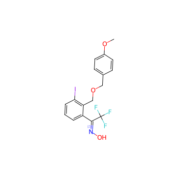 COc1ccc(COCc2c(I)cccc2/C(=N/O)C(F)(F)F)cc1